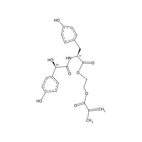 C=C(C)C(=O)OCCOC(=O)[C@H](Cc1ccc(O)cc1)NC(=O)[C@H](O)c1ccc(O)cc1